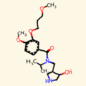 COCCCOc1cc(C(=O)N(CC2CNCC2O)C(C)C)ccc1OC